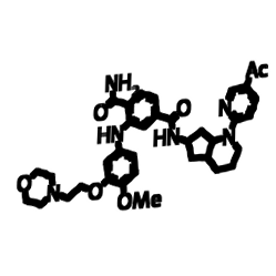 COc1ccc(Nc2cc(C(=O)NC3CC4CCCN(c5ccc(C(C)=O)cn5)C4C3)ccc2C(N)=O)cc1OCCN1CCOCC1